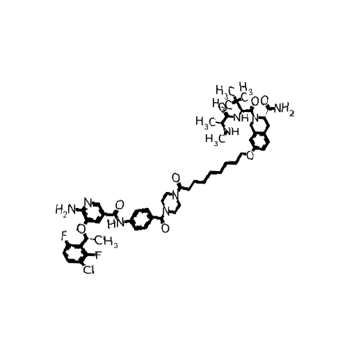 CN[C@@H](C)C(=O)N[C@H](C(=O)N1Cc2cc(OCCCCCCCCC(=O)N3CCN(C(=O)c4ccc(NC(=O)c5cnc(N)c(O[C@H](C)c6c(F)ccc(Cl)c6F)c5)cc4)CC3)ccc2C[C@H]1C(N)=O)C(C)(C)C